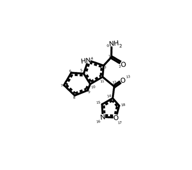 NC(=O)c1[nH]c2ccccc2c1C(=O)c1cnoc1